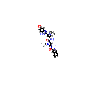 Cn1cc(NC(=O)c2cc3ccccc3cn2)cc1C(=O)Nc1cc(-c2nc3cc(O)ccc3[nH]2)n(C)c1